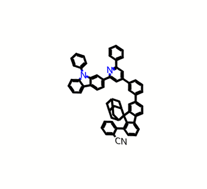 N#Cc1ccccc1-c1cccc2c1C1(c3cc(-c4cccc(-c5cc(-c6ccccc6)nc(-c6ccc7c8ccccc8n(-c8ccccc8)c7c6)c5)c4)ccc3-2)C2CC3CC(C2)CC1C3